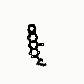 CCCCCCCNC(=O)Oc1c(Cl)cc2c(c1Cl)CN1C(=N2)C2C=CC1C2